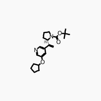 C=C(c1cncc(OC2CCCC2)c1)[C@@H]1CCCN1C(=O)OC(C)(C)C